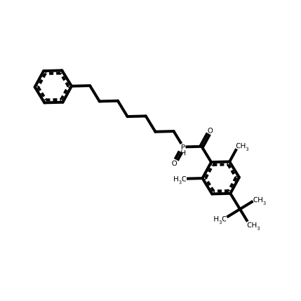 Cc1cc(C(C)(C)C)cc(C)c1C(=O)[PH](=O)CCCCCCCc1ccccc1